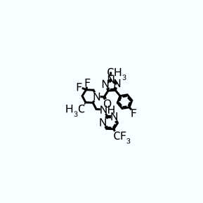 C[C@@H]1CC(F)(F)CN(C(=O)c2nn(C)nc2-c2ccc(F)cc2)C1CNc1ncc(C(F)(F)F)cn1